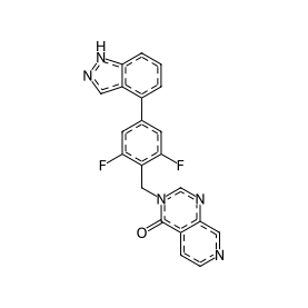 O=c1c2ccncc2ncn1Cc1c(F)cc(-c2cccc3[nH]ncc23)cc1F